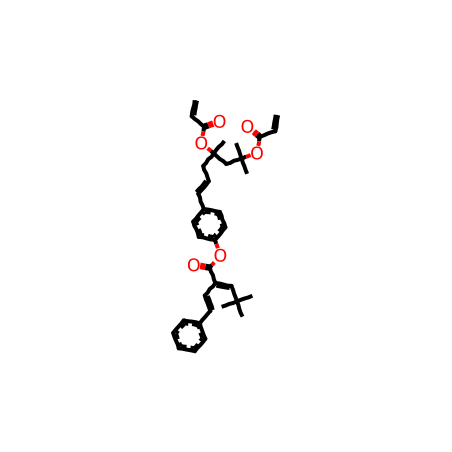 C=CC(=O)OC(C)(C)CC(C)(CC=Cc1ccc(OC(=O)C(C=Cc2ccccc2)=CC(C)(C)C)cc1)OC(=O)C=C